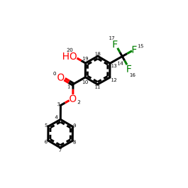 O=C(OCc1ccccc1)c1ccc(C(F)(F)F)cc1O